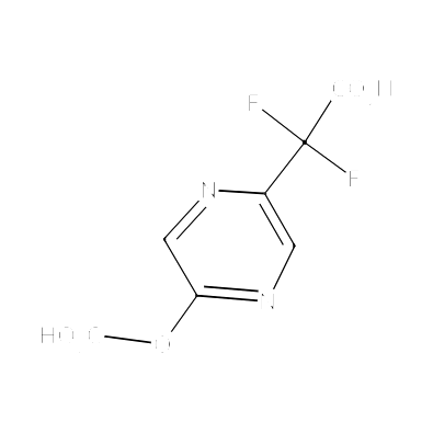 O=C(O)Oc1cnc(C(F)(F)C(=O)O)cn1